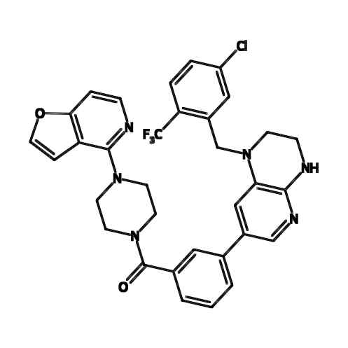 O=C(c1cccc(-c2cnc3c(c2)N(Cc2cc(Cl)ccc2C(F)(F)F)CCN3)c1)N1CCN(c2nccc3occc23)CC1